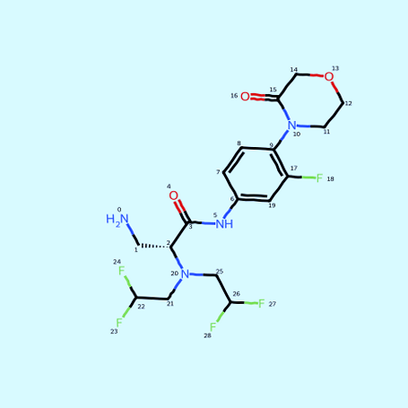 NC[C@H](C(=O)Nc1ccc(N2CCOCC2=O)c(F)c1)N(CC(F)F)CC(F)F